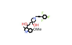 COc1ccc2ncc(C)c([C@@H](O)CCC3(CO)CCN(CC#Cc4c(F)cc(F)cc4F)CC3)c2c1